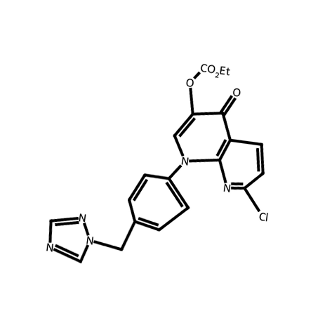 CCOC(=O)Oc1cn(-c2ccc(Cn3cncn3)cc2)c2nc(Cl)ccc2c1=O